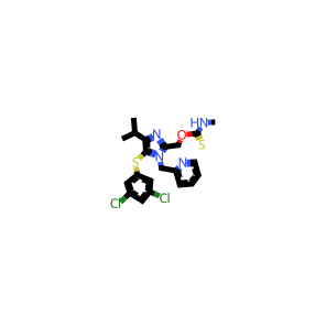 CNC(=S)OCc1nc(C(C)C)c(Sc2cc(Cl)cc(Cl)c2)n1Cc1ccccn1